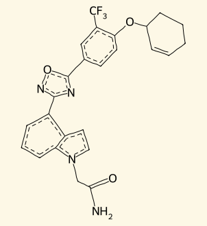 NC(=O)Cn1ccc2c(-c3noc(-c4ccc(OC5C=CCCC5)c(C(F)(F)F)c4)n3)cccc21